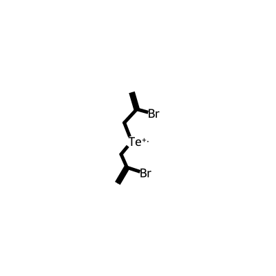 C=C(Br)C[Te+]CC(=C)Br